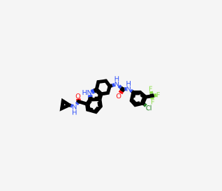 O=C(Nc1ccc(Cl)c(C(F)(F)F)c1)NC1CCc2[nH]c3c(C(=O)NC4CC4)cccc3c2C1